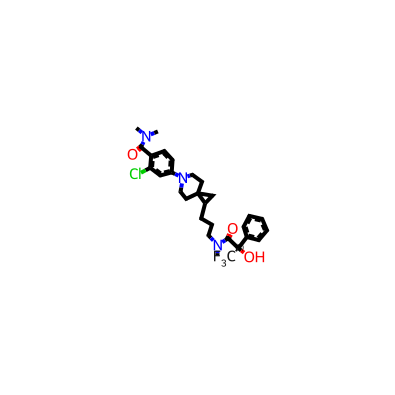 CN(C)C(=O)c1ccc(N2CCC3(CC2)CC3CCCN(C)C(=O)[C@](O)(c2ccccc2)C(F)(F)F)cc1Cl